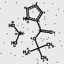 CC(C)(C)OC(=O)c1ccc[nH]1.OBO